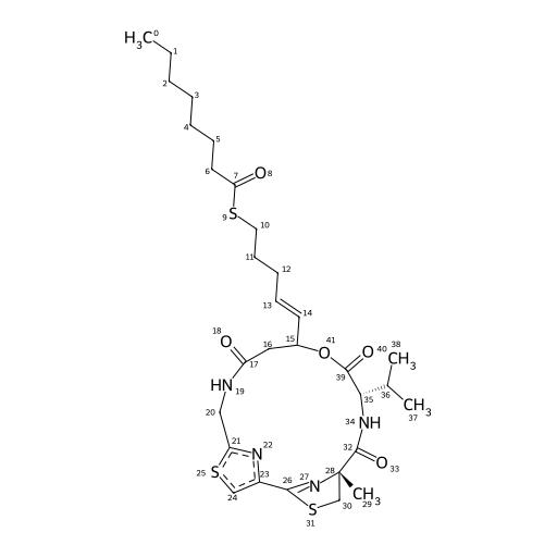 CCCCCCCC(=O)SCCC/C=C/C1CC(=O)NCc2nc(cs2)C2=N[C@@](C)(CS2)C(=O)N[C@@H](C(C)C)C(=O)O1